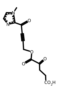 Cn1ccnc1C(=O)C#CCOC(=O)C(=O)CCC(=O)O